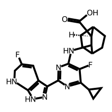 O=C(O)[C@H]1C2CCC(CC2)C1Nc1nc(-c2n[nH]c3c2C=C(F)CN3)nc(C2CC2)c1F